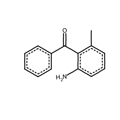 Cc1cccc(N)c1C(=O)c1ccccc1